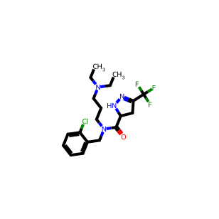 CCN(CC)CCCN(Cc1ccccc1Cl)C(=O)C1CC(C(F)(F)F)=NN1